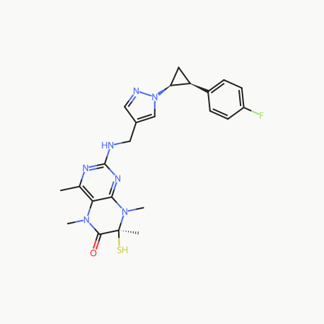 Cc1nc(NCc2cnn([C@H]3C[C@H]3c3ccc(F)cc3)c2)nc2c1N(C)C(=O)[C@](C)(S)N2C